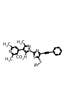 Cc1cc(-c2c(C)nn(-c3nc(C#Cc4ccccc4)c(SC(C)C)s3)c2C(=O)O)cc(C)n1